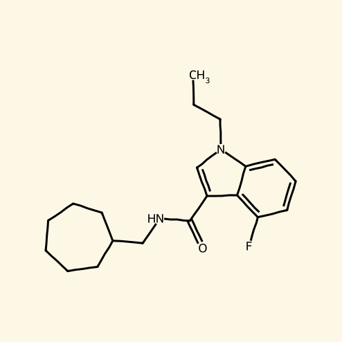 CCCn1cc(C(=O)NCC2CCCCCC2)c2c(F)cccc21